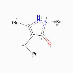 CCCCn1[nH]c(C(C)(C)C)c(CC(C)C)c1=O